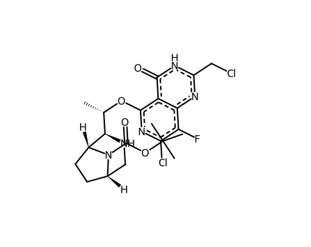 C[C@H](Oc1nc(Cl)c(F)c2nc(CCl)[nH]c(=O)c12)[C@H]1NC[C@@H]2CC[C@H]1N2C(=O)OC(C)(C)C